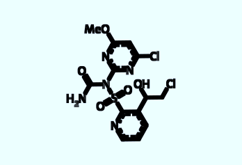 COc1cc(Cl)nc(N(C(N)=O)S(=O)(=O)c2ncccc2C(O)CCl)n1